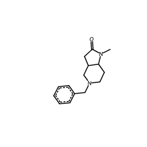 CN1C(=O)CC2CN(Cc3ccccc3)CCC21